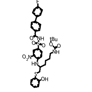 CC(C)(C)OC(=O)NCCCCC(CSc1ccccc1O)Nc1ccc(S(=O)(=O)NC(=O)c2ccc(-c3ccc(F)cc3)cc2)cc1[N+](=O)[O-]